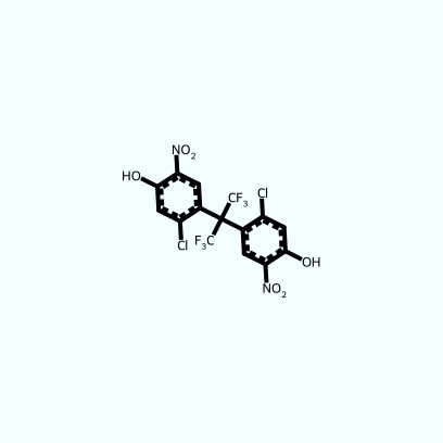 O=[N+]([O-])c1cc(C(c2cc([N+](=O)[O-])c(O)cc2Cl)(C(F)(F)F)C(F)(F)F)c(Cl)cc1O